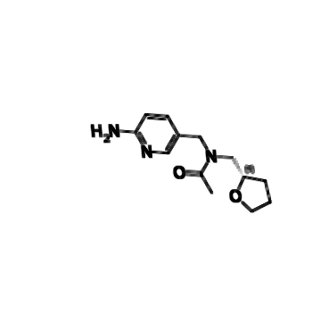 CC(=O)N(Cc1ccc(N)nc1)C[C@@H]1CCCO1